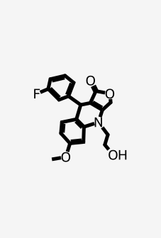 COc1ccc2c(c1)N(CCO)C1=C(C(=O)OC1)C2c1cccc(F)c1